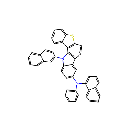 c1ccc(N(c2ccc3c(c2)c2ccc4sc5ccccc5c4c2n3-c2ccc3ccccc3c2)c2cccc3ccccc23)cc1